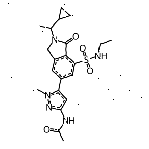 CCNS(=O)(=O)c1cc(-c2cc(NC(C)=O)nn2C)cc2c1C(=O)N(C(C)C1CC1)C2